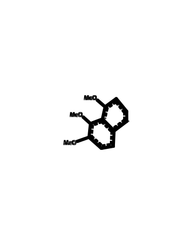 COc1ccc2[c]ccc(OC)c2c1OC